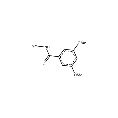 CCCNC(=O)c1cc(OC)cc(OC)c1